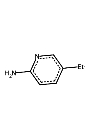 C[CH]c1ccc(N)nc1